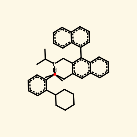 CC(C)P(Cc1c(CPc2ccccc2C2CCCCC2)cc2ccccc2c1-c1cccc2ccccc12)C(C)C